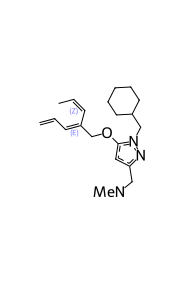 C=C/C=C(\C=C/C)COc1cc(CNC)nn1CC1CCCCC1